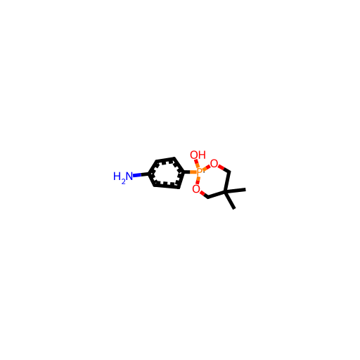 CC1(C)CO[P](O)(c2ccc(N)cc2)OC1